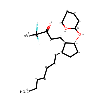 CCCCC(F)(F)C(=O)CC[C@@H]1[C@@H](CCCCCCC(=O)O)CC[C@H]1OC1CCCCO1